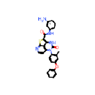 Cc1cc(Oc2ccccc2)ccc1N1C(=O)Nc2c(C(=O)NC3CCC[C@@H](N)C3)sc3nccc1c23